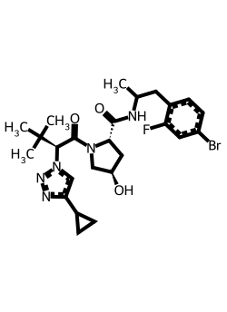 CC(Cc1ccc(Br)cc1F)NC(=O)[C@@H]1C[C@@H](O)CN1C(=O)[C@@H](n1cc(C2CC2)nn1)C(C)(C)C